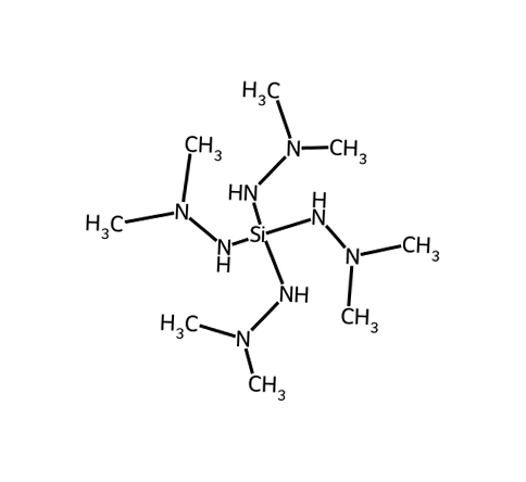 CN(C)N[Si](NN(C)C)(NN(C)C)NN(C)C